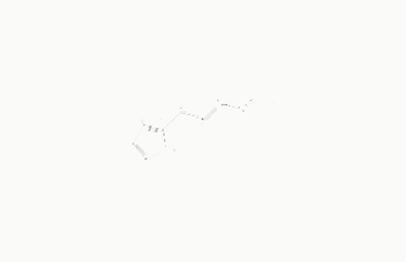 O=C(O)NN=CCc1ccco1